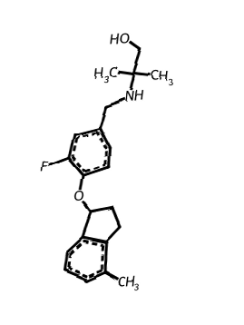 Cc1cccc2c1CCC2Oc1ccc(CNC(C)(C)CO)cc1F